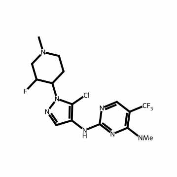 CNc1nc(Nc2cnn(C3CCN(C)CC3F)c2Cl)ncc1C(F)(F)F